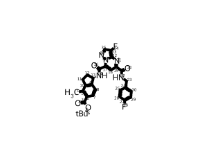 Cc1c(C(=O)OC(C)(C)C)ccc2c1CC[C@@H]2NC(=O)c1cc(C(=O)NCc2ccc(F)cc2)nc2c(F)cnn12